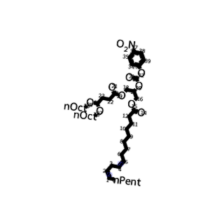 CCCCC/C=C\C/C=C\CCCCCCCC(=O)OCC(COC(=O)CCC(OCCCCCCCC)OCCCCCCCC)OC(=O)Oc1ccc([N+](=O)[O-])cc1